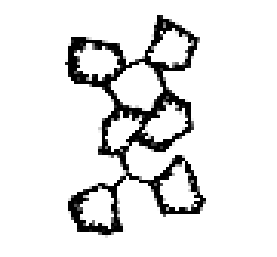 c1ccc(N(c2ccccc2)c2ccc3c4c(cccc24)-c2ccccc2-c2ccccc2-3)cc1